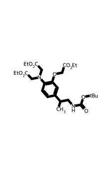 CCOC(=O)COc1cc(C(C)CNC(=O)OC(C)(C)C)ccc1N(CC(=O)OCC)CC(=O)OCC